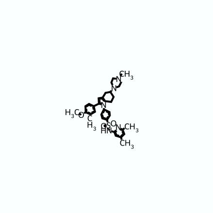 COc1ccc(-c2cc3c(n2-c2ccc(S(=O)(=O)Nc4cc(C)cc(C)n4)cc2)CCC(N2CCN(C)CC2)C3)cc1C